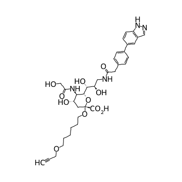 C#CCOCCCCCCO[C@]1(C(=O)O)C[C@H](O)[C@@H](NC(=O)CO)[C@H]([C@H](O)[C@H](O)CNC(=O)Cc2ccc(-c3ccc4[nH]ncc4c3)cc2)O1